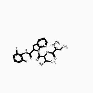 CC[C@H](NC)C(=O)NC(C(=O)N1c2ncccc2CC1C(=O)Nc1c(F)cccc1F)C(C)C